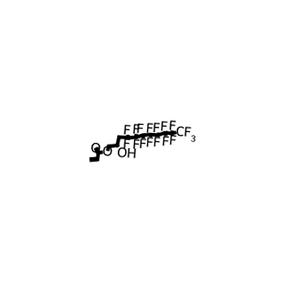 C=CC(=O)OCC(O)CC(F)(F)C(F)(F)C(F)(F)C(F)(F)C(F)(F)C(F)(F)C(F)(F)C(F)(F)F